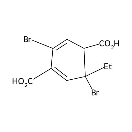 CCC1(Br)C=C(C(=O)O)C(Br)=CC1C(=O)O